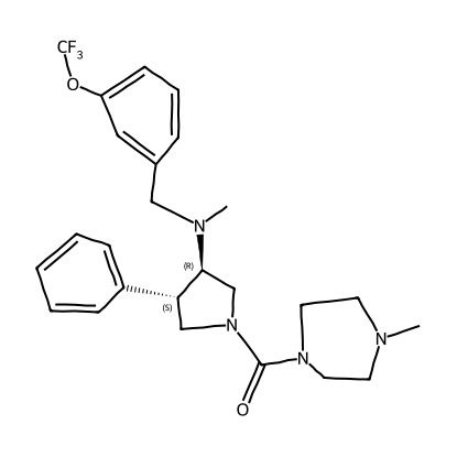 CN1CCN(C(=O)N2C[C@H](c3ccccc3)[C@@H](N(C)Cc3cccc(OC(F)(F)F)c3)C2)CC1